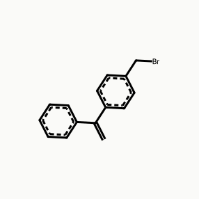 C=C(c1ccccc1)c1ccc(CBr)cc1